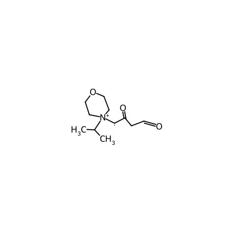 CC(C)[N+]1([CH]C(=O)CC=O)CCOCC1